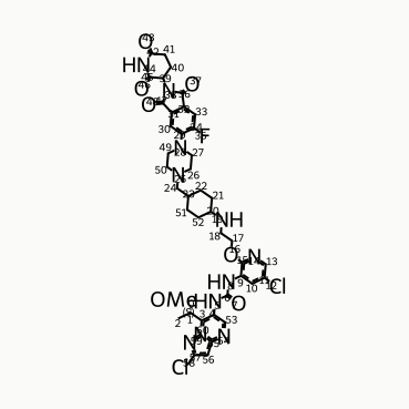 CO[C@@H](C)c1c(NC(=O)Nc2cc(Cl)cnc2OCCNC2CCC(CN3CCN(c4cc5c(cc4F)C(=O)N(C4CCC(=O)NC4=O)C5=O)CC3)CC2)cnc2cc(Cl)nn12